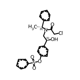 C[C@H](c1ccccc1)N(C[C@@H](O)c1ccc(OS(=O)(=O)c2ccccc2)cc1)C(=O)CCl